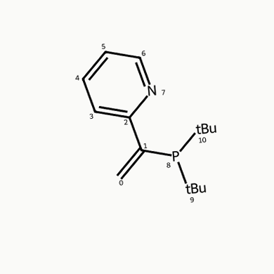 C=C(c1ccccn1)P(C(C)(C)C)C(C)(C)C